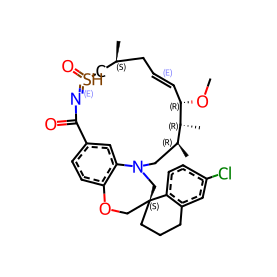 CO[C@H]1/C=C/C[C@H](C)C/[SH](=O)=N\C(=O)c2ccc3c(c2)N(C[C@H](C)[C@H]1C)C[C@@]1(CCCc2cc(Cl)ccc21)CO3